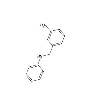 Nc1cccc(CNc2ccccn2)c1